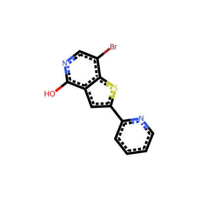 Oc1ncc(Br)c2sc(-c3ccccn3)cc12